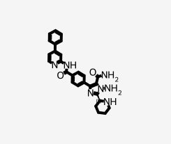 NC(=O)c1c(-c2ccc(C(=O)Nc3cc(-c4ccccc4)ccn3)cc2)nc([C@@H]2CCCCN2)n1N